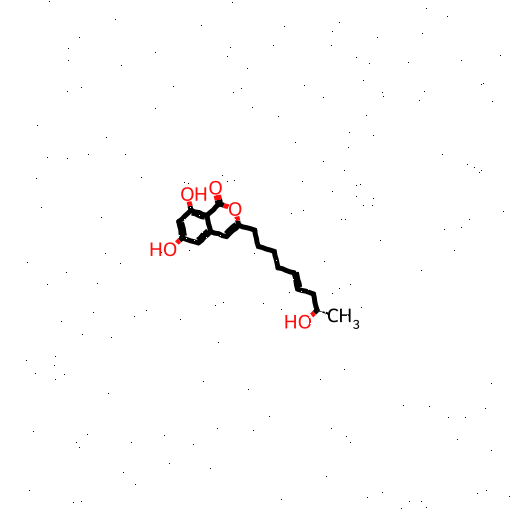 C[C@H](O)C/C=C/CCCCc1cc2cc(O)cc(O)c2c(=O)o1